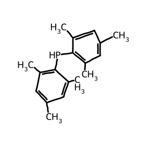 Cc1cc(C)c(Pc2c(C)cc(C)cc2C)c(C)c1